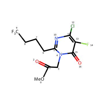 COC(=O)Cn1c(CCCC(F)(F)F)nc(Cl)c(F)c1=O